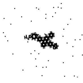 CC1CC=C(c2ccc(-c3c4ccccc4c(-c4ccc(C5=NCCO5)cc4)c4cc(-c5ccccc5)ccc34)cc2)OCC1